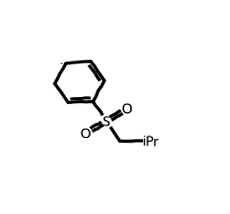 CC(C)CS(=O)(=O)C1=CC[CH]C=C1